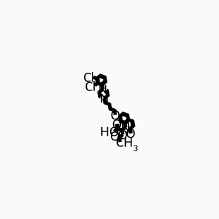 CC(=O)OC(C(=O)O)n1c(=O)ccc2ccc(OCCCCN3CCN(c4cccc(Cl)c4Cl)CC3)cc21